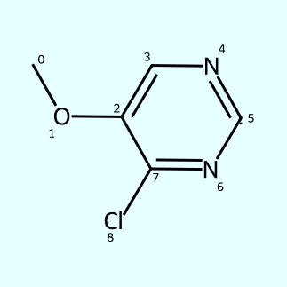 COc1cn[c]nc1Cl